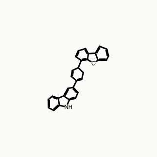 C1=CC(c2cccc3c2oc2ccccc23)CC=C1c1ccc2[nH]c3ccccc3c2c1